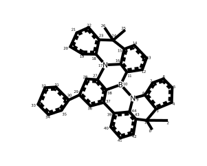 CC1(C)c2ccccc2N2B3c4cccc5c4N(c4ccccc4C5(C)C)c4cc(-c5ccccc5)cc(c43)-c3cccc1c32